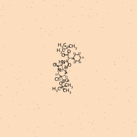 CC(C)(C)OC(=O)C(C(=O)NC1C(=O)N2CC(Cl)(C(=O)OC(C)(C)C)CS[C@H]12)c1ccccc1